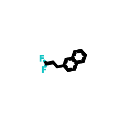 FC(F)=CCc1ccc2ccccc2c1